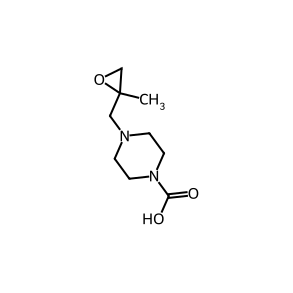 CC1(CN2CCN(C(=O)O)CC2)CO1